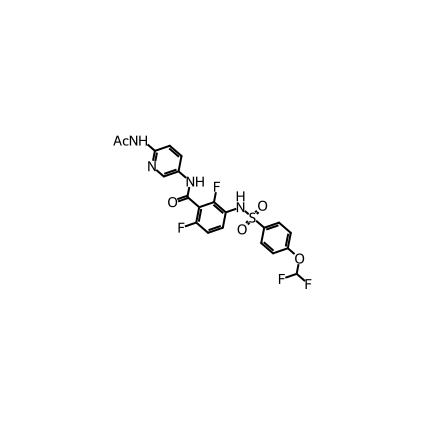 CC(=O)Nc1ccc(NC(=O)c2c(F)ccc(NS(=O)(=O)c3ccc(OC(F)F)cc3)c2F)cn1